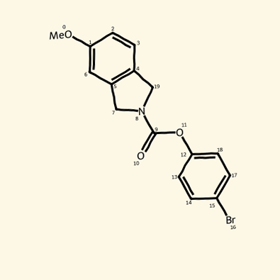 COc1ccc2c(c1)CN(C(=O)Oc1ccc(Br)cc1)C2